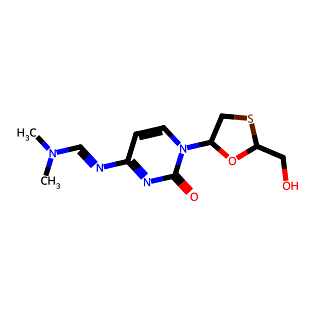 CN(C)/C=N/c1ccn(C2CSC(CO)O2)c(=O)n1